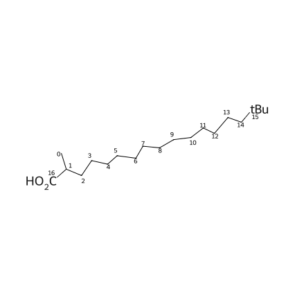 CC(CCCCCCCCCCCCCC(C)(C)C)C(=O)O